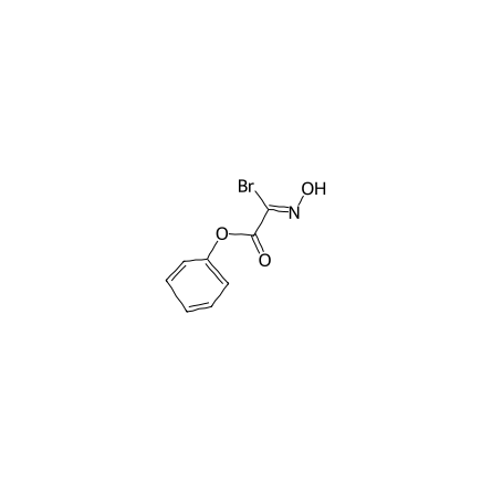 O=C(Oc1ccccc1)C(Br)=NO